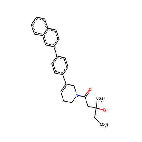 O=C(O)CC(O)(CC(=O)N1CCC=C(c2ccc(-c3ccc4ccccc4c3)cc2)C1)C(=O)O